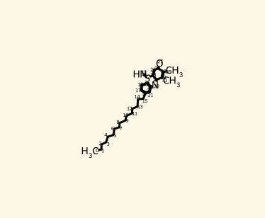 CCCCCCCCCCCCCCCCc1ccc2c(c1)N=C1C(=CC(=O)C(C)=C1C)S2=N